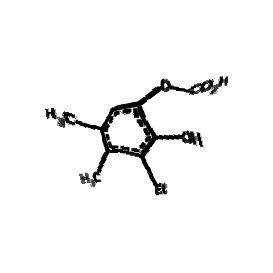 CCc1c(C)c(C)cc(OC(=O)O)c1O